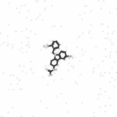 CC(C)C(=O)NC1CCc2c(c3cc(N)ccc3n2Cc2ccccc2[N+](=O)[O-])C1